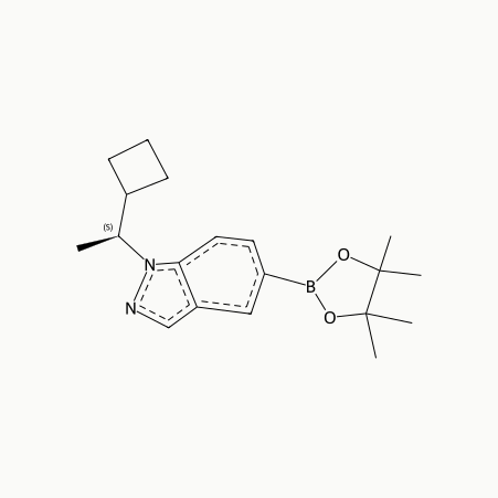 C[C@@H](C1CCC1)n1ncc2cc(B3OC(C)(C)C(C)(C)O3)ccc21